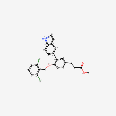 COC(=O)CCc1ccc(OCc2c(Cl)cccc2Cl)c(-c2ccc3[nH]ccc3c2)c1